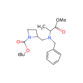 COC(=O)C(C)N(Cc1ccccc1)CC1CCN1C(=O)OC(C)(C)C